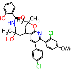 COc1ccc(-c2nc3c(cc2-c2ccc(Cl)cc2)C(CC(C)(O)CNC(=O)c2ccccc2O)CC(C)(C)O3)c(Cl)c1